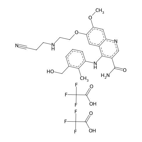 COc1cc2ncc(C(N)=O)c(Nc3cccc(CO)c3C)c2cc1OCCNCCC#N.O=C(O)C(F)(F)F.O=C(O)C(F)(F)F